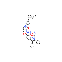 Cc1ccn(-c2ccc(/C=C/C(=O)O)cc2)c(=O)c1NC(=O)c1ccc2c(C3CCCCC3)c(-c3ccccc3)n(CC(=O)N(C)C)c2c1